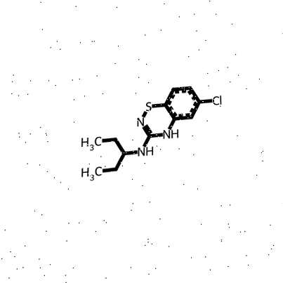 CCC(CC)NC1=NSc2ccc(Cl)cc2N1